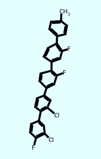 Cc1ccc(-c2ccc(-c3ccc(-c4ccc(-c5ccc(F)c(Cl)c5)c(Cl)c4)cc3F)cc2F)cc1